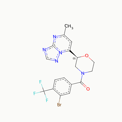 Cc1cc([C@@H]2CN(C(=O)c3ccc(C(F)(F)F)c(Br)c3)CCO2)n2ncnc2n1